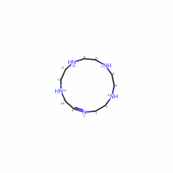 C1=N\CCNCCNCCNCCNC/1